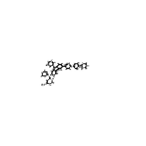 CC1C=C(N(c2ccccc2)c2ccc3c4cc(-c5ccc(-c6ccc(-c7ccccc7)cc6)cc5)ccc4n(-c4ccccc4)c3c2)C=CC1